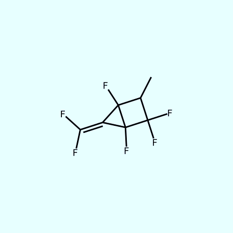 CC1C(F)(F)C2(F)C(=C(F)F)C12F